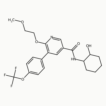 COCCOc1ncc(C(=O)NC2CCCCC2O)cc1-c1ccc(OC(F)(F)F)cc1